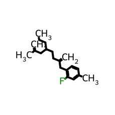 C=C(C)CC(CCC)CCC(=C)Cc1ccc(C)cc1F